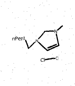 CCCCCCN1C=CN(C)C1.ClCl